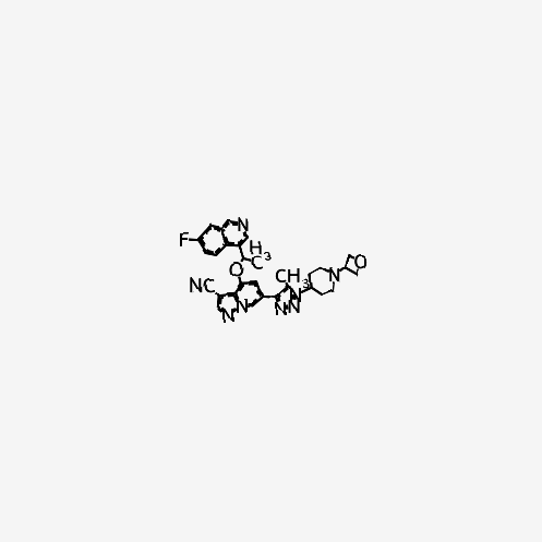 Cc1c(-c2cc(OC(C)c3cncc4cc(F)ccc34)c3c(C#N)cnn3c2)nnn1C1CCN(C2COC2)CC1